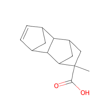 CC1(C(=O)O)CC2CC1C1C3C=CC(C3)C21